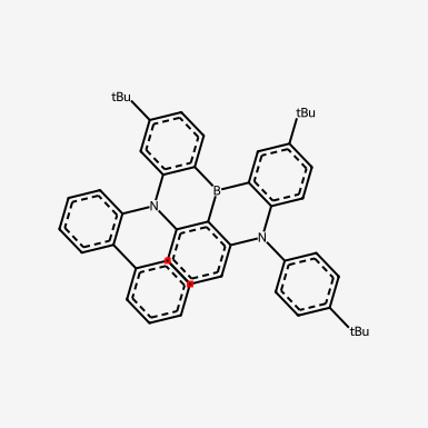 CC(C)(C)c1ccc(N2c3ccc(C(C)(C)C)cc3B3c4ccc(C(C)(C)C)cc4N(c4ccccc4-c4ccccc4)c4cccc2c43)cc1